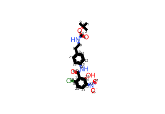 CC(C)(C)OC(=O)NCCc1ccc(NC(=O)c2c(Cl)ccc([N+](=O)[O-])c2O)cc1